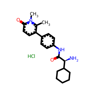 Cc1c(-c2ccc(NC(=O)[C@@H](N)C3CCCCC3)cc2)ccc(=O)n1C.Cl